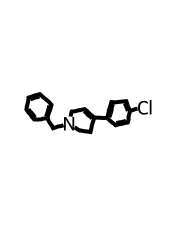 Clc1ccc(C2=CCN(Cc3ccccc3)CC2)cc1